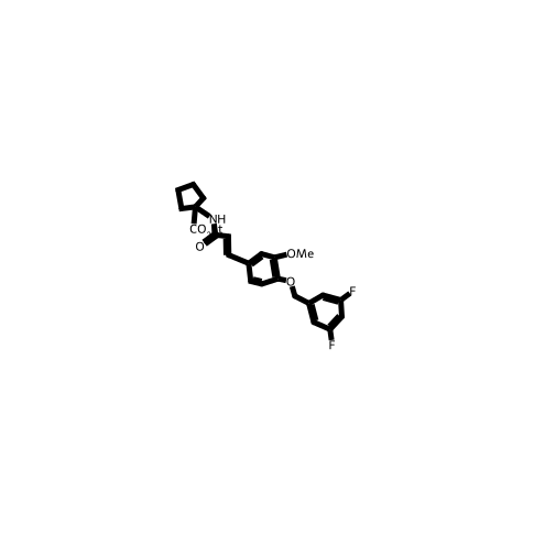 CCOC(=O)C1(NC(=O)C=Cc2ccc(OCc3cc(F)cc(F)c3)c(OC)c2)CCCC1